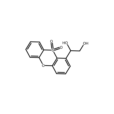 O=S1(=O)c2ccccc2Oc2cccc(C(O)CO)c21